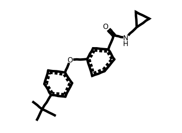 CC(C)(C)c1ccc(Oc2cccc(C(=O)NC3CC3)c2)cc1